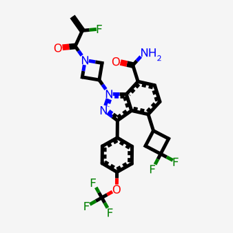 C=C(F)C(=O)N1CC(n2nc(-c3ccc(OC(F)(F)F)cc3)c3c(C4CC(F)(F)C4)ccc(C(N)=O)c32)C1